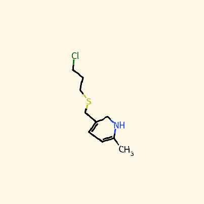 CC1=CC=C(CSCCCCl)CN1